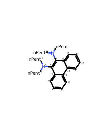 CCCCCN(CCCCC)c1c(N(CCCCC)CCCCC)c2ccccc2c2ccccc12